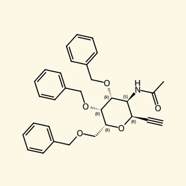 C#C[C@H]1O[C@H](COCc2ccccc2)[C@H](OCc2ccccc2)[C@H](OCc2ccccc2)[C@H]1NC(C)=O